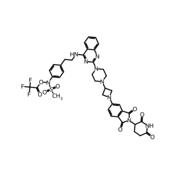 CS(=O)(=O)N(OC(=O)C(F)(F)F)c1ccc(CCNc2nc(N3CCN(C4CN(c5ccc6c(c5)C(=O)N(C5CCC(=O)NC5=O)C6=O)C4)CC3)nc3ccccc23)cc1